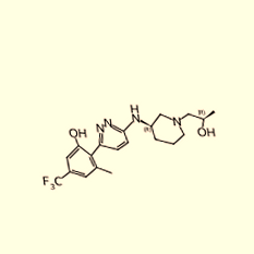 Cc1cc(C(F)(F)F)cc(O)c1-c1ccc(N[C@@H]2CCCN(C[C@@H](C)O)C2)nn1